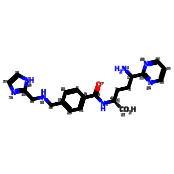 NC(CC[C@H](NC(=O)c1ccc(CNCc2ncc[nH]2)cc1)C(=O)O)c1ncccn1